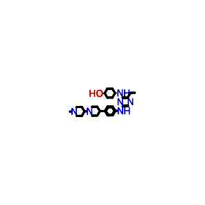 CCc1ncc(Nc2ccc(C3CCN(C4CCN(C)CC4)CC3)cc2)nc1N[C@H]1CC[C@H](O)CC1